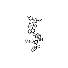 COc1cc(Nc2nccc(Oc3ccc(NC(=O)Nc4cc(C(C)C)nn4-c4ccc(C)cc4)c4ccccc34)n2)cc(C(=O)N2CCOCC2)c1